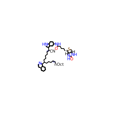 CCCCCCCC/C=C\CCCC(CCCC/C=C(\C#N)c1c[nH]c2ccc(NC(=O)CCCC[C@@H]3SC[C@@H]4NC(=O)N[C@@H]43)cc12)c1nccc2ccccc12